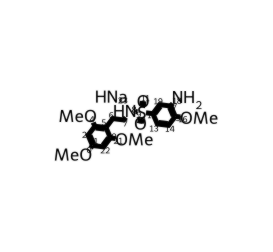 COc1cc(OC)c(CCNS(=O)(=O)c2ccc(OC)c(N)c2)c(OC)c1.[NaH]